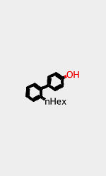 CCCCCCc1ccccc1-c1ccc(O)cc1